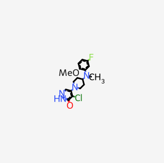 COc1ccc(F)cc1N(C)C1CCN(c2cn[nH]c(=O)c2Cl)CC1